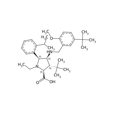 CCN1[C@H](C(=O)O)[C@@H](C(C)(C)C)[C@H](NCc2cc(C(C)(C)C)ccc2OC)[C@@H]1c1ccccc1C(C)C